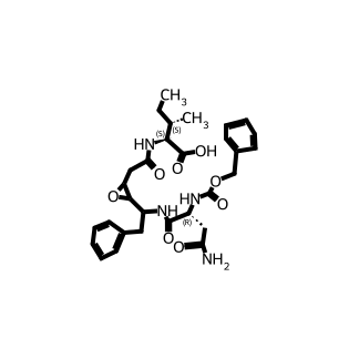 CC[C@H](C)[C@H](NC(=O)CC1OC1C(Cc1ccccc1)NC(=O)[C@@H](CC(N)=O)NC(=O)OCc1ccccc1)C(=O)O